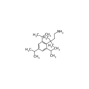 CC(C)c1cc(C(C)C)c(C(C)(C)CCN)c(C(C)C)c1